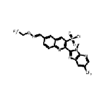 CCS(=O)(=O)c1cc2cc(/C=N/OCC(F)(F)F)ccc2nc1-c1nc2cc(C(F)(F)F)cnc2n1C